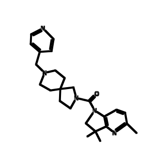 Cc1ccc2c(n1)C(C)(C)CN2C(=O)N1CCC2(CCN(Cc3ccncc3)CC2)C1